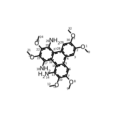 COc1cc2c3cc(OC)c(OC)c(N)c3c3c(N)c(OC)c(OC)c(N)c3c2cc1OC